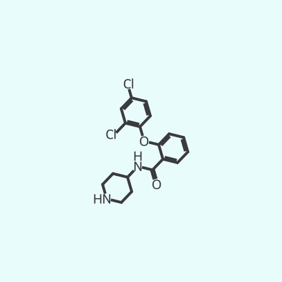 O=C(NC1CCNCC1)c1ccccc1Oc1ccc(Cl)cc1Cl